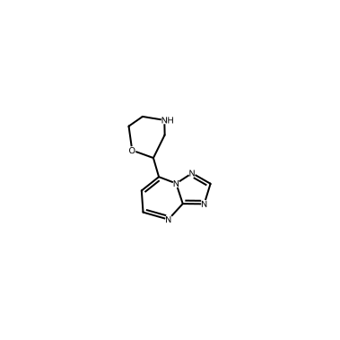 c1cc(C2CNCCO2)n2ncnc2n1